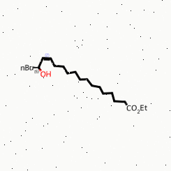 CCCC[C@H](O)/C=C\CCCCCCCCCCCCC(=O)OCC